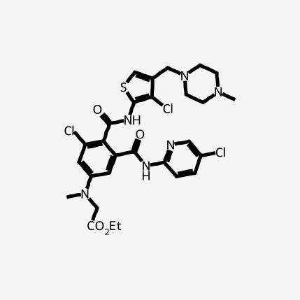 CCOC(=O)CN(C)c1cc(Cl)c(C(=O)Nc2scc(CN3CCN(C)CC3)c2Cl)c(C(=O)Nc2ccc(Cl)cn2)c1